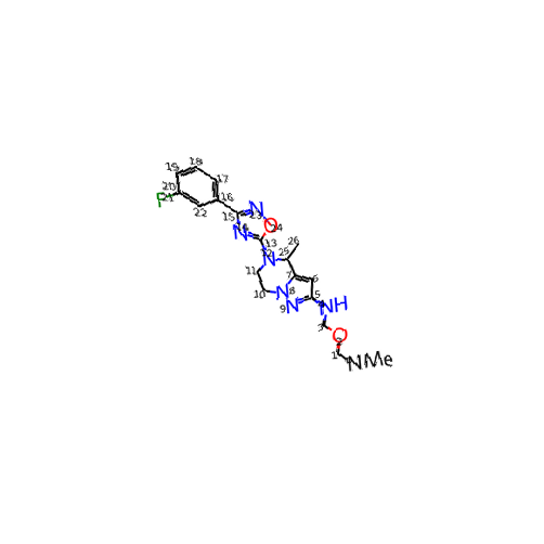 CNCOCNc1cc2n(n1)CCN(c1nc(-c3cccc(F)c3)no1)C2C